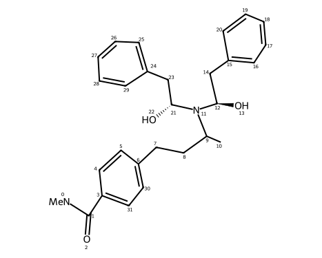 CNC(=O)c1ccc(CCC(C)N([C@H](O)Cc2ccccc2)[C@H](O)Cc2ccccc2)cc1